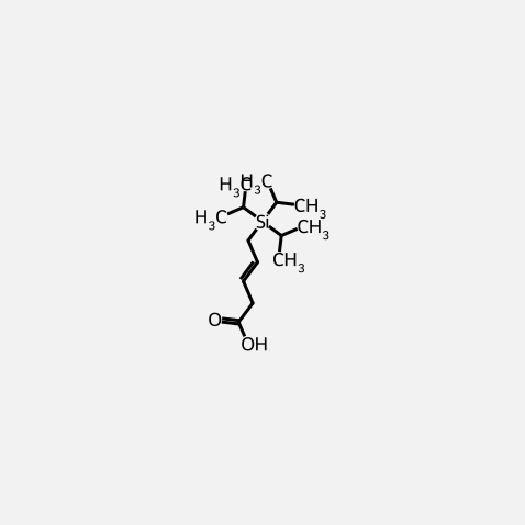 CC(C)[Si](CC=CCC(=O)O)(C(C)C)C(C)C